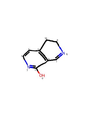 Oc1nccc2c1C=NCC2